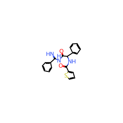 N=C(NC(=O)C(NC(=O)c1cccs1)c1ccccc1)c1ccccc1